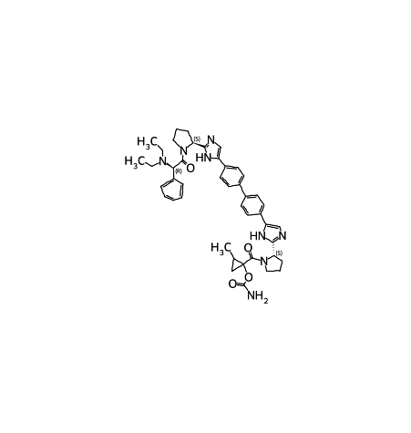 CCN(CC)[C@@H](C(=O)N1CCC[C@H]1c1ncc(-c2ccc(-c3ccc(-c4cnc([C@@H]5CCCN5C(=O)C5(OC(N)=O)CC5C)[nH]4)cc3)cc2)[nH]1)c1ccccc1